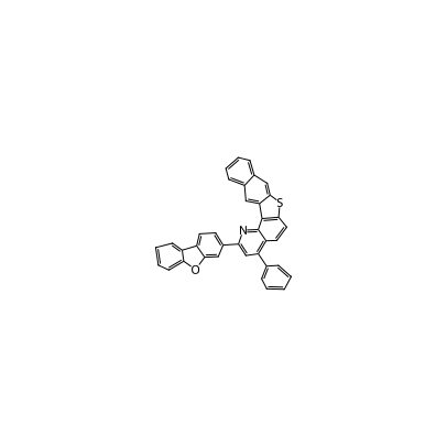 c1ccc(-c2cc(-c3ccc4c(c3)oc3ccccc34)nc3c2ccc2sc4cc5ccccc5cc4c23)cc1